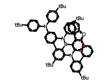 CC(C)(C)c1ccc(N2B3c4c(cc(C(C)(C)C)cc4N(c4ccc(C(C)(C)C)cc4-c4ccccc4)c4ccc5oc6ccccc6c5c43)-c3ccc(N(c4ccc(C(C)(C)C)cc4)c4ccc(C(C)(C)C)cc4)cc32)cc1